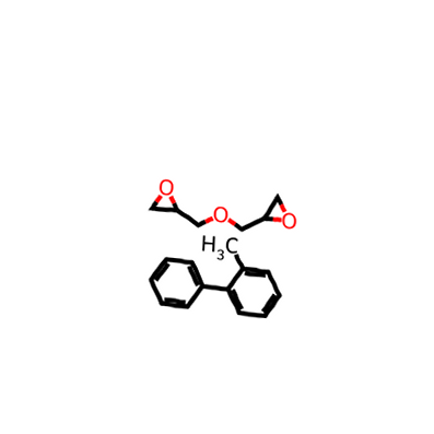 C(OCC1CO1)C1CO1.Cc1ccccc1-c1ccccc1